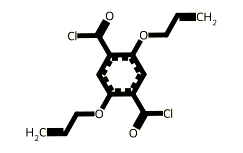 C=CCOc1cc(C(=O)Cl)c(OCC=C)cc1C(=O)Cl